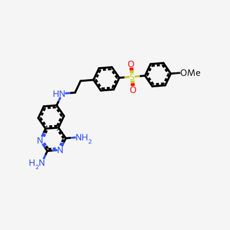 COc1ccc(S(=O)(=O)c2ccc(CCNc3ccc4nc(N)nc(N)c4c3)cc2)cc1